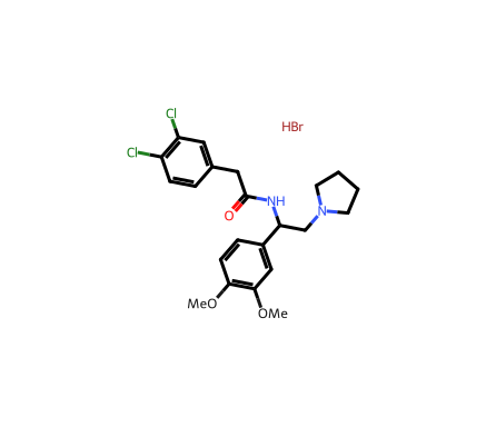 Br.COc1ccc(C(CN2CCCC2)NC(=O)Cc2ccc(Cl)c(Cl)c2)cc1OC